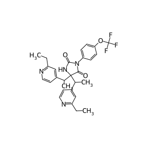 CCc1cc(C(C)C2(C(C)c3ccnc(CC)c3)NC(=O)N(c3ccc(OC(F)(F)F)cc3)C2=O)ccn1